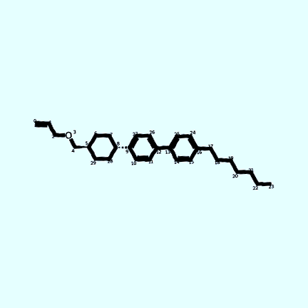 C=CCOC[C@H]1CC[C@H](c2ccc(-c3ccc(CCCCCCC)cc3)cc2)CC1